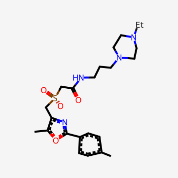 CCN1CCN(CCCNC(=O)CS(=O)(=O)Cc2nc(-c3ccc(C)cc3)oc2C)CC1